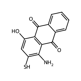 Nc1c(S)cc(O)c2c1C(=O)c1ccccc1C2=O